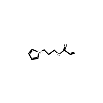 C=CC(=O)OCCC[SH]1C=CC=C1